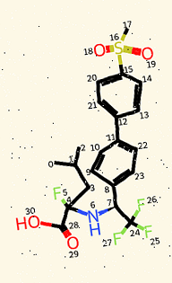 CC(C)CC(F)(N[C@@H](c1ccc(-c2ccc(S(C)(=O)=O)cc2)cc1)C(F)(F)F)C(=O)O